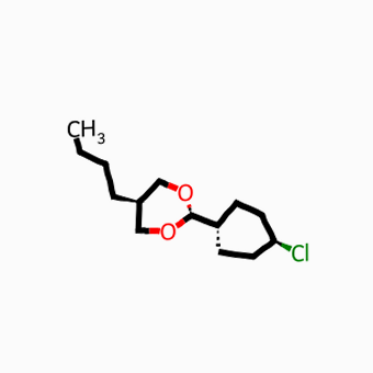 CCCC[C@H]1CO[C@H]([C@H]2CC[C@H](Cl)CC2)OC1